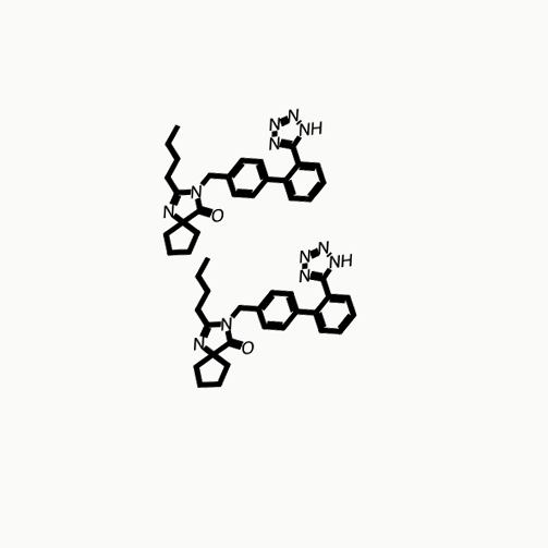 CCCCC1=NC2(CCCC2)C(=O)N1Cc1ccc(-c2ccccc2-c2nnn[nH]2)cc1.CCCCC1=NC2(CCCC2)C(=O)N1Cc1ccc(-c2ccccc2-c2nnn[nH]2)cc1